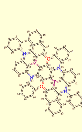 c1ccc(-n2c3cccc4c3p3c5c(cc6ccccc6c52)oc2c5c6c(oc7cc8ccccc8c8c7p6c6c(cccc6n5-c5ccccc5)n8-c5ccccc5)c(c23)n4-c2ccccc2)cc1